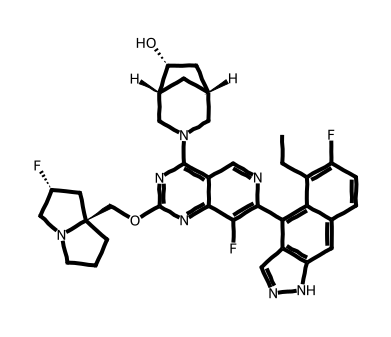 CCc1c(F)ccc2cc3[nH]ncc3c(-c3ncc4c(N5C[C@@H]6C[C@H](C5)[C@H](O)C6)nc(OC[C@@]56CCCN5C[C@H](F)C6)nc4c3F)c12